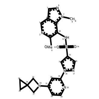 COc1ncc2cnn(C)c2c1NS(=O)(=O)c1cnn(-c2cc(N3CC4(CC4)C3)ccn2)c1